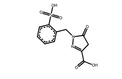 O=C(O)C1=NN(Cc2ccccc2S(=O)(=O)O)C(=O)C1